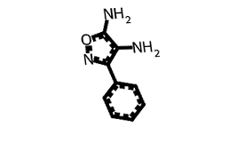 Nc1onc(-c2ccccc2)c1N